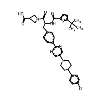 CC(C)(C)c1ccc(C(=O)N[C@@H](Cc2ccc(-c3ncc(N4CCC(c5ccc(Cl)cc5)CC4)cn3)cc2)C(=O)N2CC(C(=O)O)C2)s1